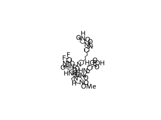 COC(=O)N1CC[C@H]2CC[C@@H](C(=O)NC(CCC(N)=O)C(=O)NC(Cc3ccc(F)c(F)c3)C(=O)N3CCC(CCCc4ccc5c(c4)n(C)c(=O)n5C4CCC(=O)NC4=O)CC3)N2C(=O)[C@@H](NC(=O)c2cc3cc(C(=O)P(=O)(O)O)ccc3[nH]2)C1